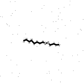 [CH2]CCCSSCCCCCCCC